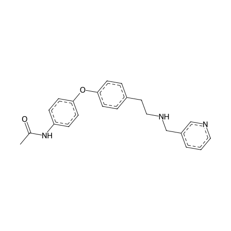 CC(=O)Nc1ccc(Oc2ccc(CCNCc3cccnc3)cc2)cc1